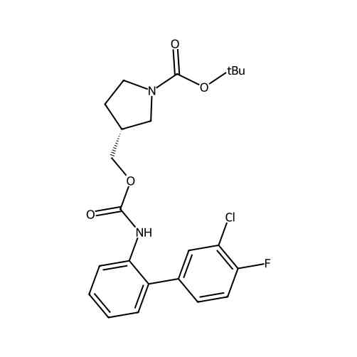 CC(C)(C)OC(=O)N1CC[C@@H](COC(=O)Nc2ccccc2-c2ccc(F)c(Cl)c2)C1